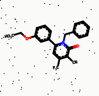 N#Cc1c(C(F)(F)F)cc(-c2cccc(OCC(=O)O)c2)n(Cc2ccccc2)c1=O